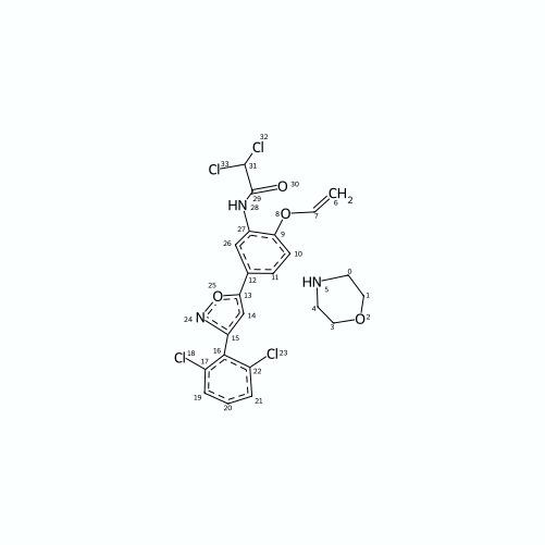 C1COCCN1.C=COc1ccc(-c2cc(-c3c(Cl)cccc3Cl)no2)cc1NC(=O)C(Cl)Cl